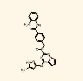 Cc1cc(Nc2nc([S+]([O-])Cc3ccc(C(=O)Nc4ccccc4N)cc3)nn3cccc23)n[nH]1